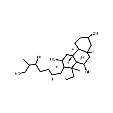 CC(CO)C(O)CC[C@@H](C)[C@H]1CC[C@H]2[C@@H]3[C@H](O)C[C@H]4C[C@H](O)CC[C@]4(C)[C@H]3C[C@H](O)[C@]12C